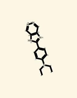 CCN(CC)c1ccc(-c2nc3cnncc3[nH]2)cc1